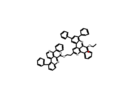 CCOC(=O)c1nc2c(-c3ccccc3)cc(-c3ccccc3)cc2c2cc(CCOC(=O)c3nc4cccc(-c5ccccc5)c4c4ccnc(-c5ccccc5)c34)nc(-c3ccccc3)c12